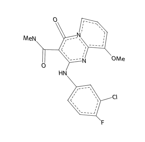 CNC(=O)c1c(Nc2ccc(F)c(Cl)c2)nc2c(OC)cccn2c1=O